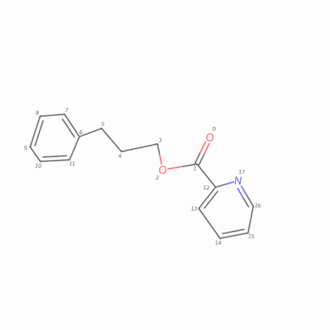 O=C(OCCCc1ccccc1)c1ccccn1